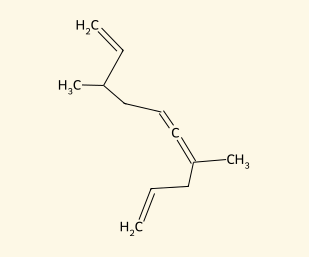 C=CCC(C)=C=CCC(C)C=C